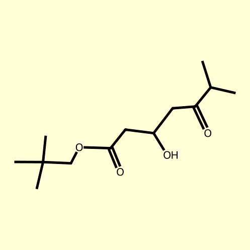 CC(C)C(=O)CC(O)CC(=O)OCC(C)(C)C